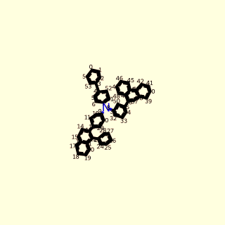 c1ccc(-c2ccc(N(c3ccc(-c4ccc5ccccc5c4-c4ccccc4)cc3)c3cccc(-c4cc5ccccc5c5ccccc45)c3)cc2)cc1